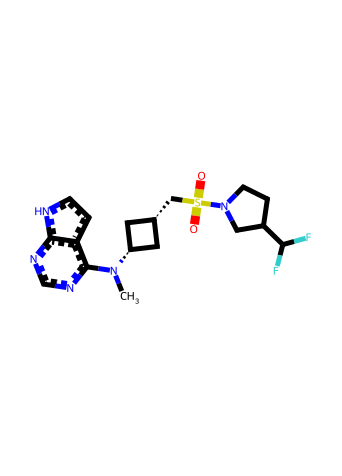 CN(c1ncnc2[nH]ccc12)[C@H]1C[C@@H](CS(=O)(=O)N2CCC(C(F)F)C2)C1